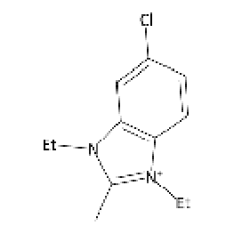 CCn1c(C)[n+](CC)c2ccc(Cl)cc21